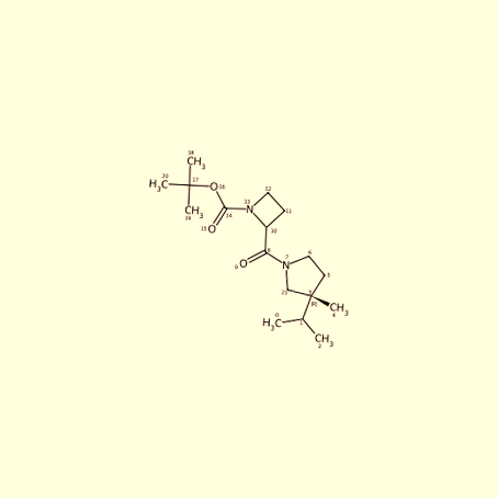 CC(C)[C@@]1(C)CCN(C(=O)C2CCN2C(=O)OC(C)(C)C)C1